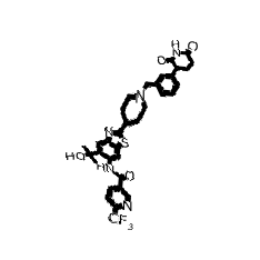 CC(C)(O)c1cc2nc(C3CCN(Cc4cccc(C5CCC(=O)NC5=O)c4)CC3)sc2cc1NC(=O)c1ccc(C(F)(F)F)nc1